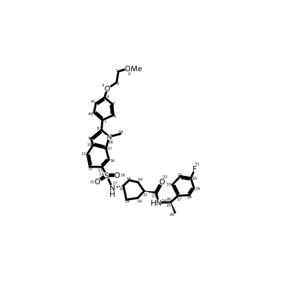 COCCOc1ccc(-c2cc3ccc(S(=O)(=O)N[C@H]4CC[C@H](C(=O)N[C@H](C)c5ccc(F)cc5)CC4)cc3n2C)cc1